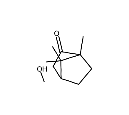 CC12CCC(CC1=O)C2(C)C.CO